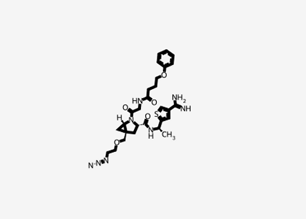 C[C@@H](NC(=O)[C@@H]1C[C@]2(COCCN=[N+]=[N-])C[C@@H]2N1C(=O)CNC(=O)CCCOc1ccccc1)c1cc(C(=N)N)cs1